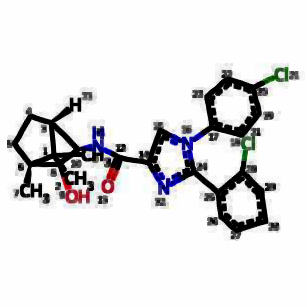 CC1(C)[C@@H]2CC[C@@]1(C)[C@H](O)[C@@H]2NC(=O)c1cn(-c2ccc(Cl)cc2)c(-c2ccccc2Cl)n1